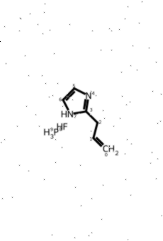 C=CCc1ncc[nH]1.F.P